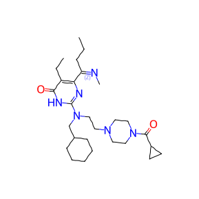 CCC/C(=N/C)c1nc(N(CCN2CCN(C(=O)C3CC3)CC2)CC2CCCCC2)[nH]c(=O)c1CC